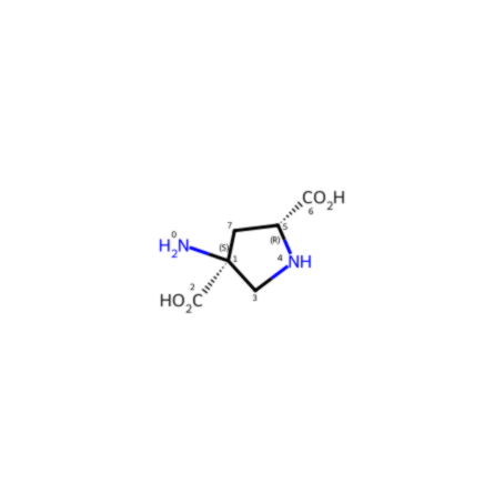 N[C@]1(C(=O)O)CN[C@@H](C(=O)O)C1